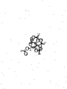 CC(=O)OC[C@@H]1O[C@@H](Br)[C@H](OC(C)=O)[C@@H](OC(C)=O)[C@@H]1OC(C)=O